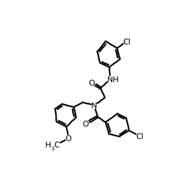 COc1cccc(CN(CC(=O)Nc2cccc(Cl)c2)C(=O)c2ccc(Cl)cc2)c1